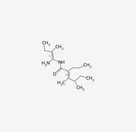 CCC/C(C(=O)N/C(N)=C(\C)CC)=C(/C)C(C)CC